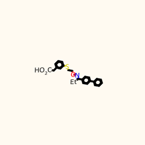 CC/C(=N\OCCSc1cccc(CC(=O)O)c1)c1ccc(-c2ccccc2)cc1